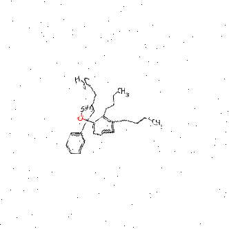 CCCCc1cccc(C(CCCC)(O[SiH3])c2ccccc2)c1CCCC